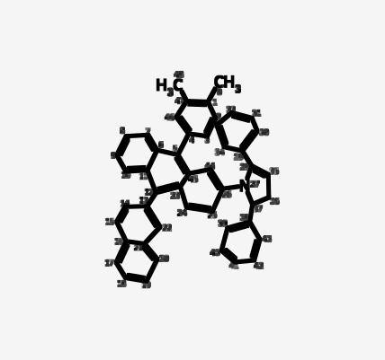 Cc1ccc(-c2c3ccccc3c(-c3ccc4ccccc4c3)c3ccc(N4C(c5ccccc5)=CCC4c4ccccc4)cc23)cc1C